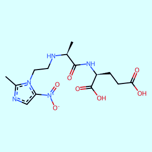 Cc1ncc([N+](=O)[O-])n1CCN[C@@H](C)C(=O)N[C@@H](CCC(=O)O)C(=O)O